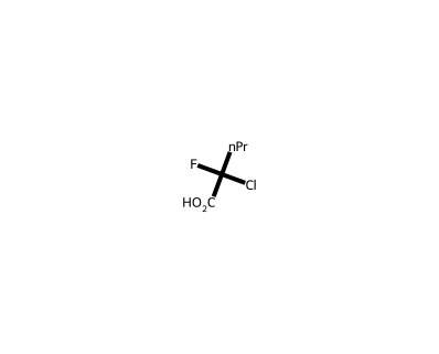 CCCC(F)(Cl)C(=O)O